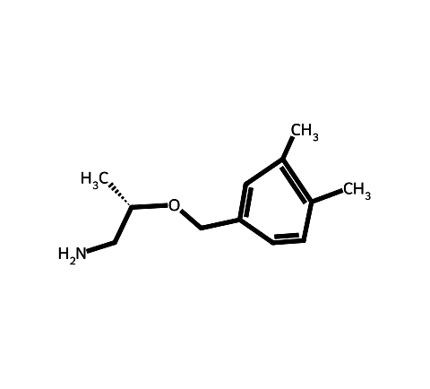 Cc1ccc(CO[C@@H](C)CN)cc1C